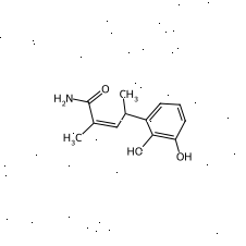 CC(=CC(C)c1cccc(O)c1O)C(N)=O